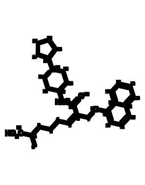 CC(CCCC=C(COc1cccc2ccccc12)C(=O)NC1CCN(C2CCCC2)CC1)C(=O)O